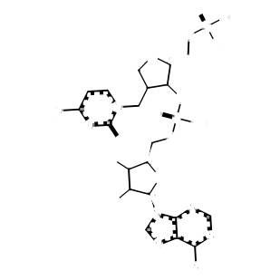 Nc1ccn(CC2CO[C@H](COP(=O)(O)O)C2OP(=O)(O)OC[C@H]2O[C@@H](n3cnc4c(N)ncnc43)C(O)C2O)c(=O)n1